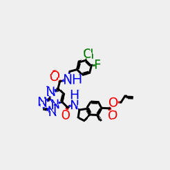 C=CCOC(=O)c1ccc2c(c1C)CC[C@@H]2NC(=O)c1cc(C(=O)NCc2ccc(F)c(Cl)c2)nc2ncnn12